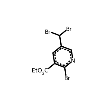 CCOC(=O)c1cc(C(Br)Br)cnc1Br